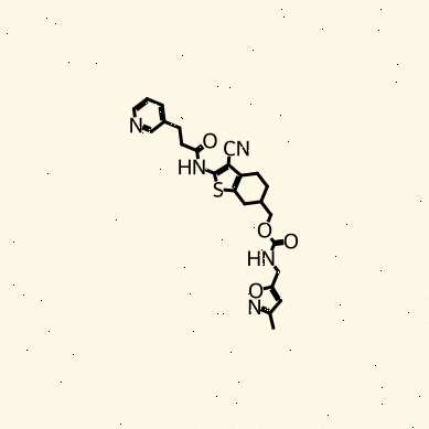 Cc1cc(CNC(=O)OCC2CCc3c(sc(NC(=O)CCc4cccnc4)c3C#N)C2)on1